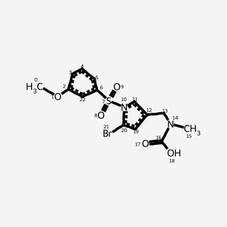 COc1cccc(S(=O)(=O)n2cc(CN(C)C(=O)O)cc2Br)c1